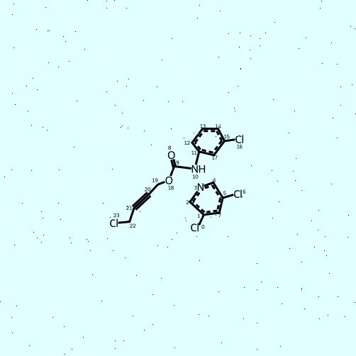 Clc1cncc(Cl)c1.O=C(Nc1cccc(Cl)c1)OCC#CCCl